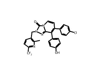 Cc1nc(C(F)(F)F)ccc1Cn1nc2c(-c3ccc(O)cc3)c(-c3ccc(Cl)cc3)ccn2c1=O